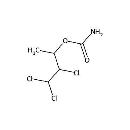 CC(OC(N)=O)C(Cl)C(Cl)Cl